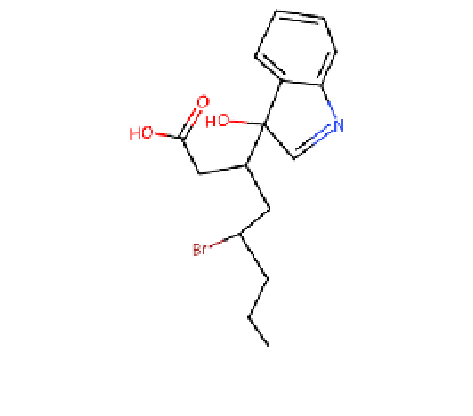 CCCC(Br)CC(CC(=O)O)C1(O)C=Nc2ccccc21